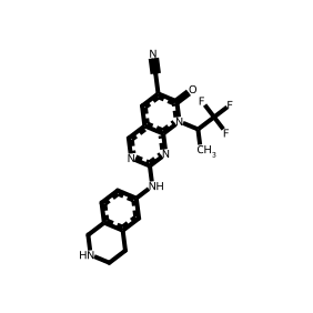 CC(n1c(=O)c(C#N)cc2cnc(Nc3ccc4c(c3)CCNC4)nc21)C(F)(F)F